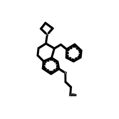 CNCCOc1ccc2c(c1)C(Cc1ccccc1)C(N1CCC1)CC2